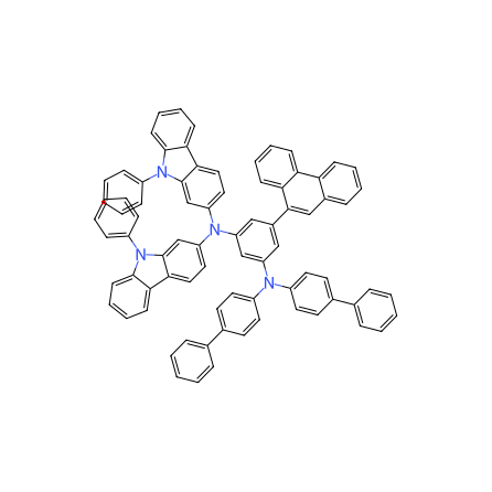 c1ccc(-c2ccc(N(c3ccc(-c4ccccc4)cc3)c3cc(-c4cc5ccccc5c5ccccc45)cc(N(c4ccc5c6ccccc6n(-c6ccccc6)c5c4)c4ccc5c6ccccc6n(-c6ccccc6)c5c4)c3)cc2)cc1